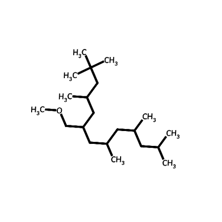 COCC(CC(C)CC(C)CC(C)C)CC(C)CC(C)(C)C